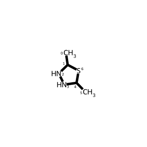 CC1NNC(C)S1